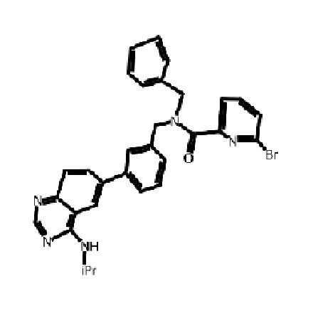 CC(C)Nc1ncnc2ccc(-c3cccc(CN(Cc4ccccc4)C(=O)c4cccc(Br)n4)c3)cc12